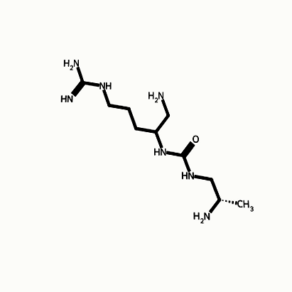 C[C@H](N)CNC(=O)NC(CN)CCCNC(=N)N